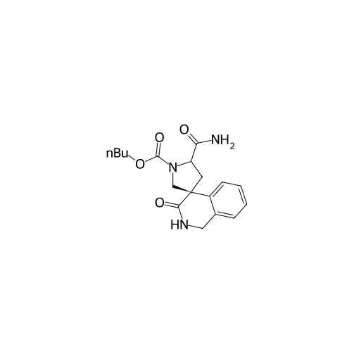 CCCCOC(=O)N1C[C@]2(CC1C(N)=O)C(=O)NCc1ccccc12